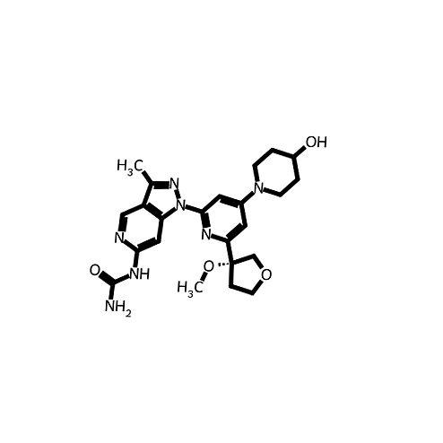 CO[C@@]1(c2cc(N3CCC(O)CC3)cc(-n3nc(C)c4cnc(NC(N)=O)cc43)n2)CCOC1